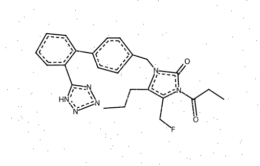 CCCc1c(CF)n(C(=O)CC)c(=O)n1Cc1ccc(-c2ccccc2-c2nnn[nH]2)cc1